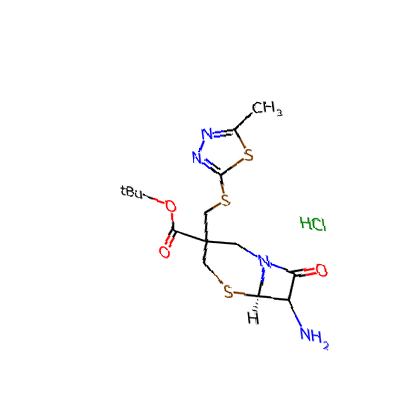 Cc1nnc(SCC2(C(=O)OC(C)(C)C)CS[C@@H]3C(N)C(=O)N3C2)s1.Cl